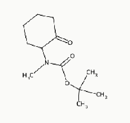 CN(C(=O)OC(C)(C)C)C1CCCCC1=O